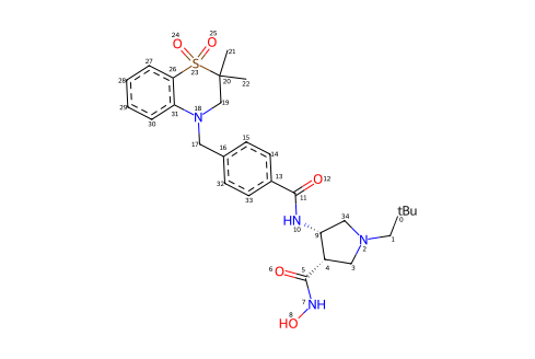 CC(C)(C)CN1C[C@H](C(=O)NO)[C@H](NC(=O)c2ccc(CN3CC(C)(C)S(=O)(=O)c4ccccc43)cc2)C1